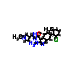 Cc1cccc(Cl)c1-c1ccc2c(C(=O)NCC3CCN(C)C3)c(N)ncc2c1